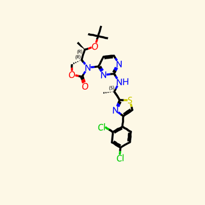 C[C@H](Nc1nccc(N2C(=O)OC[C@@H]2[C@@H](C)OC(C)(C)C)n1)c1nc(-c2ccc(Cl)cc2Cl)cs1